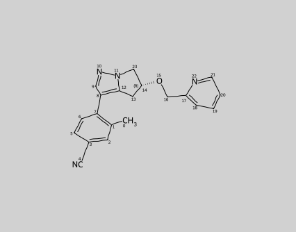 Cc1cc(C#N)ccc1-c1cnn2c1C[C@@H](OCc1ccccn1)C2